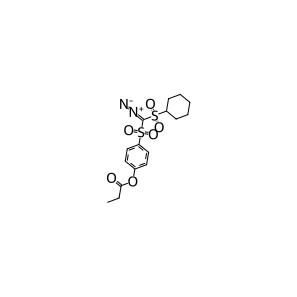 CCC(=O)Oc1ccc(S(=O)(=O)C(=[N+]=[N-])S(=O)(=O)C2CCCCC2)cc1